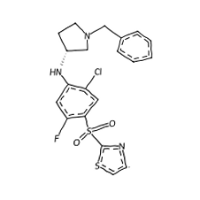 O=S(=O)(c1n[c]cs1)c1cc(Cl)c(N[C@@H]2CCN(Cc3ccccc3)C2)cc1F